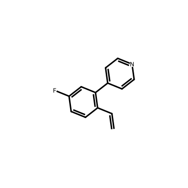 C=Cc1ccc(F)cc1-c1ccncc1